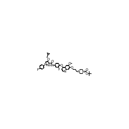 COc1cc2c(Oc3ccc(NC(=O)c4nn(-c5ccc(F)cc5)cc4OCC4CC4)cc3F)ccnc2cc1OCCCN1CCN(C(=O)OC(C)(C)C)CC1